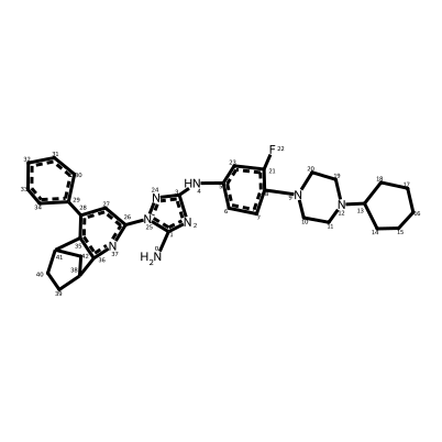 Nc1nc(Nc2ccc(N3CCN(C4CCCCC4)CC3)c(F)c2)nn1-c1cc(-c2ccccc2)c2c(n1)C1CCC2C1